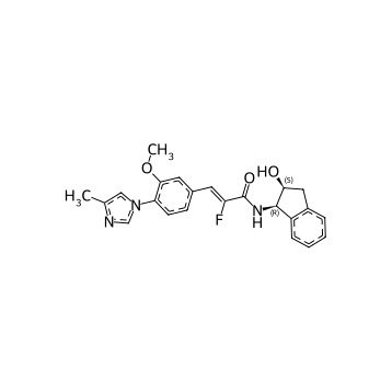 COc1cc(C=C(F)C(=O)N[C@@H]2c3ccccc3C[C@@H]2O)ccc1-n1cnc(C)c1